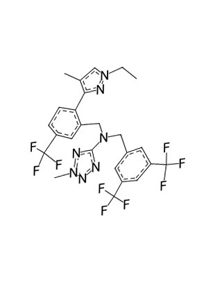 CCn1cc(C)c(-c2ccc(C(F)(F)F)cc2CN(Cc2cc(C(F)(F)F)cc(C(F)(F)F)c2)c2nnn(C)n2)n1